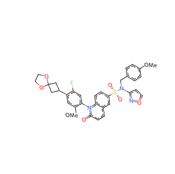 COc1ccc(CN(c2ccon2)S(=O)(=O)c2ccc3c(ccc(=O)n3-c3cc(F)c(C4CC5(C4)OCCO5)cc3OC)c2)cc1